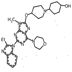 CCc1nc2ccccc2n1-c1nc(N2CCOCC2)c2nc(OC3CCN(C4CCC(O)CC4)CC3)n(C)c2n1